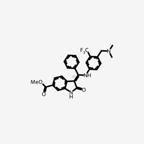 COC(=O)c1ccc2c(c1)NC(=O)/C2=C(\Nc1ccc(CN(C)C)c(C(F)(F)F)c1)c1ccccc1